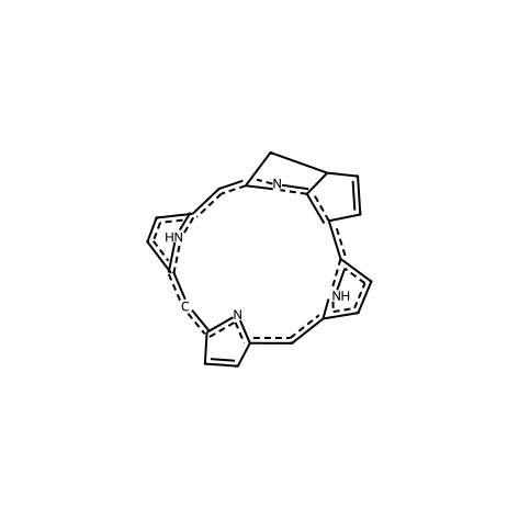 C1=Cc2cc3ccc([nH]3)c3c4nc(cc5ccc(cc1n2)[nH]5)CC4C=C3